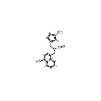 Cn1ccc(CN(C=O)Cc2ccc(O)c3ccccc23)n1